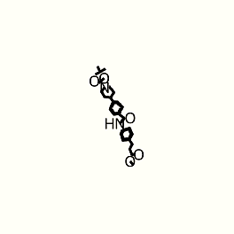 COC(=O)CCc1ccc(NC(=O)c2ccc(C3CCN(C(=O)OC(C)(C)C)CC3)cc2)cc1